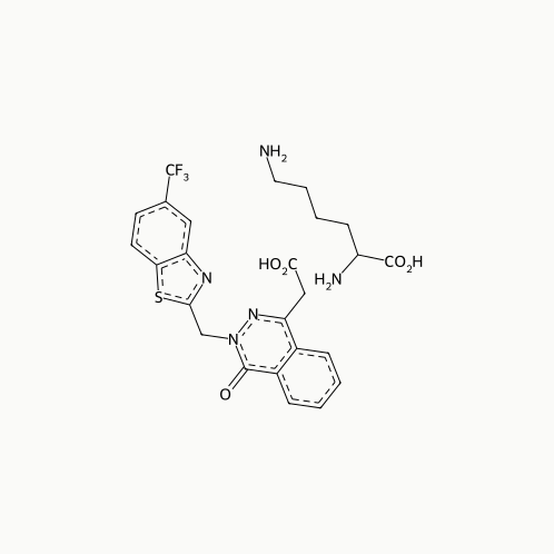 NCCCCC(N)C(=O)O.O=C(O)Cc1nn(Cc2nc3cc(C(F)(F)F)ccc3s2)c(=O)c2ccccc12